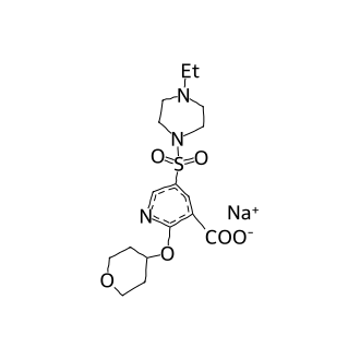 CCN1CCN(S(=O)(=O)c2cnc(OC3CCOCC3)c(C(=O)[O-])c2)CC1.[Na+]